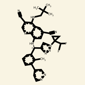 Cc1c(-c2ccnnc2)cccc1[C@H](Nc1cc(C#N)cc2c(NCC(C)(C)C)c(C#N)cnc12)c1cn(C2(C(F)F)CC2)nn1